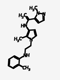 C=C(Nc1ccn(CCNc2ccccc2C)c1C)c1ccnn1C